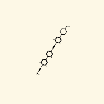 CCC1CCC(c2cc(F)c(C#Cc3ccc(-c4cc(F)c(C#CC(F)(F)F)c(F)c4)c(F)c3)c(F)c2)CC1